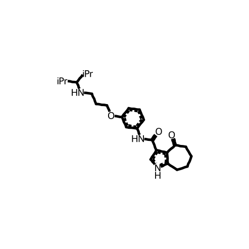 CC(C)C(NCCCOc1cccc(NC(=O)c2c[nH]c3c2C(=O)CCCC3)c1)C(C)C